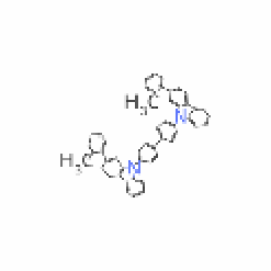 Cc1ccccc1C1=Cc2c(c3ccccc3n2-c2ccc(-c3ccc(-n4c5ccccc5c5ccc(-c6ccccc6C)cc54)cc3)cc2)CC1